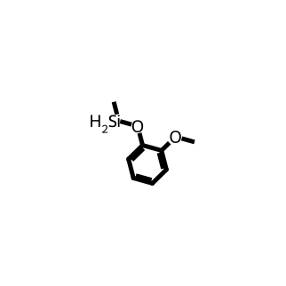 COc1ccccc1O[SiH2]C